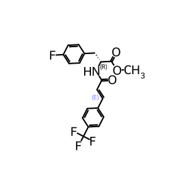 COC(=O)[C@@H](Cc1ccc(F)cc1)NC(=O)/C=C/c1ccc(C(F)(F)F)cc1